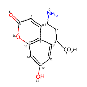 NCCCC(=O)O.O=c1ccc2ccc(O)cc2o1